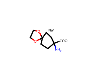 NC1(C(=O)[O-])CCC2(CC1)OCCO2.[Na+]